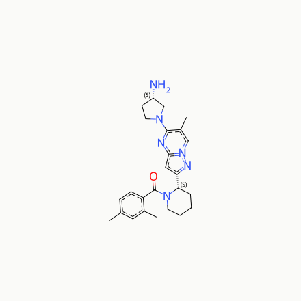 Cc1ccc(C(=O)N2CCCC[C@H]2c2cc3nc(N4CC[C@H](N)C4)c(C)cn3n2)c(C)c1